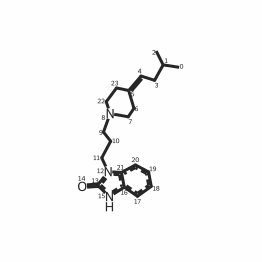 CC(C)CC=C1CCN(CCCn2c(=O)[nH]c3ccccc32)CC1